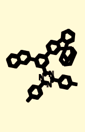 Cc1ccc(-c2nc(-c3ccc(C)cc3)nc(-c3cc(-c4ccc5c(c4)C4(c6ccccc6-5)C5CC6CC(C5)CC4C6)cc(-c4ccc5ccccc5c4)c3)n2)cc1